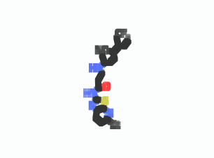 C=C/C(CC(F)(F)F)=C(C#N)\C=C/C(C)NCCC(=O)Nc1nc2ccc(CC)nc2s1